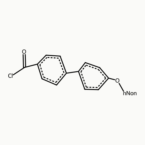 CCCCCCCCCOc1ccc(-c2ccc(C(=O)Cl)cc2)cc1